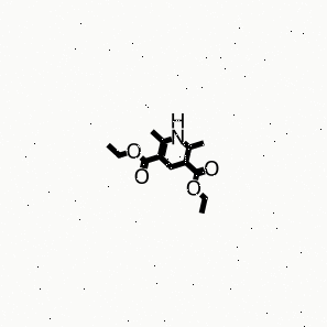 CCOC(=O)C1=C(C)NC(C)C(C(=O)OCC)C1